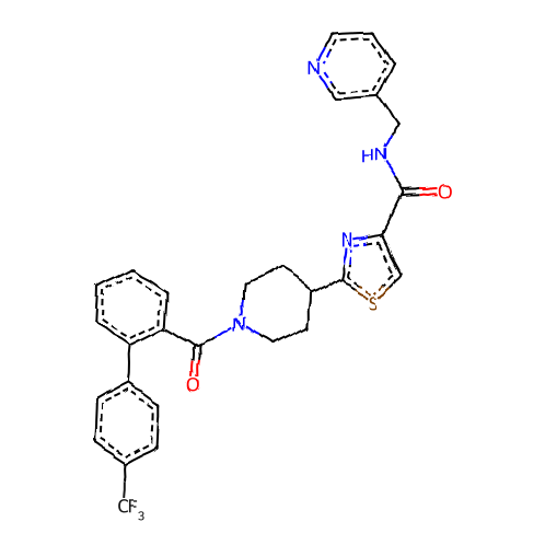 O=C(NCc1cccnc1)c1csc(C2CCN(C(=O)c3ccccc3-c3ccc(C(F)(F)F)cc3)CC2)n1